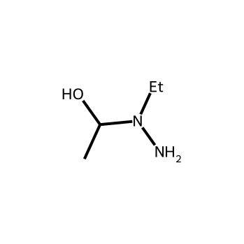 CCN(N)C(C)O